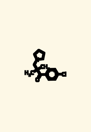 CC(C)(CN1CCCC1)C(=O)c1ccc(Cl)cc1